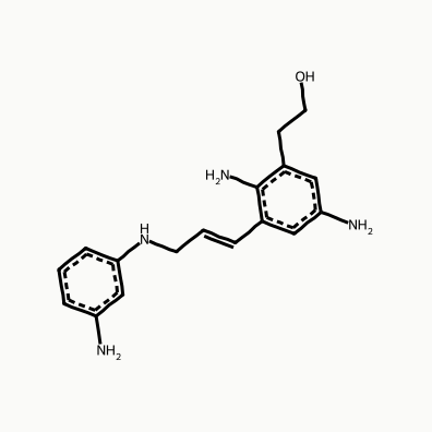 Nc1cccc(NCC=Cc2cc(N)cc(CCO)c2N)c1